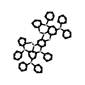 c1ccc(N(c2ccccc2)c2cc3c4c(c2)N(c2ccccc2)c2ccccc2SB4c2cc4c(cc2O3)N(c2ccccc2)c2cc(N(c3ccccc3)c3ccccc3)cc3c2B4Sc2ccccc2N3c2ccccc2)cc1